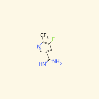 N=C(N)c1cnc(C(F)(F)F)c(F)c1